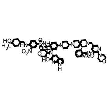 COc1cc(CN2CCC3(CCN(C4CCN(c5ccc(C(=O)NS(=O)(=O)c6ccc(NCC7CCC(C)(O)CC7)c([N+](=O)[O-])c6)c(N6c7cc8cc[nH]c8nc7O[C@H]7COCC[C@@H]76)c5)CC4)CC3)[C@H](c3ccccc3C(C)C)C2)cnc1N1CCOCC1